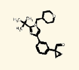 CC(C)(C)c1nc(-c2cccc(C3(C=O)CC3)c2)cn1CC1CCOCC1